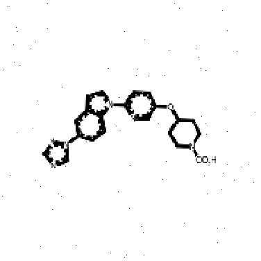 O=C(O)N1CCC(Oc2ccc(-n3ccc4cc(-n5cncn5)ccc43)nc2)CC1